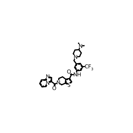 CN(C)C1CCN(Cc2cc(NC(=O)c3csc4c3CCN(C(=O)c3cnc5ccccn35)C4)cc(C(F)(F)F)c2)CC1